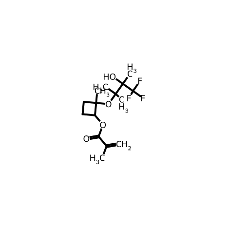 C=C(C)C(=O)OC1CCC1(C)OC(C)(C)C(C)(O)C(F)(F)F